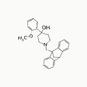 COc1ccccc1C1(O)CCN(CC23CC(c4ccccc42)c2ccccc23)CC1